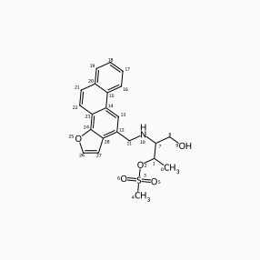 CC(OS(C)(=O)=O)C(CO)NCc1cc2c3ccccc3ccc2c2occc12